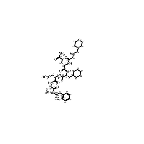 CC(C)C[C@H](NC(=O)[C@H](CC(=O)O)NC(=O)[C@H](CC1CCCCC1)NC(=O)[C@H](CCC(N)=O)NC(=O)CNCN1CCOCC1)C(=O)N[C@@H](Cc1ccccc1)C(=O)O